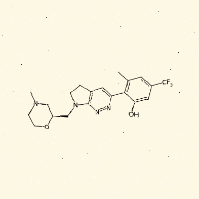 Cc1cc(C(F)(F)F)cc(O)c1-c1cc2c(nn1)N(C[C@@H]1CN(C)CCO1)CC2